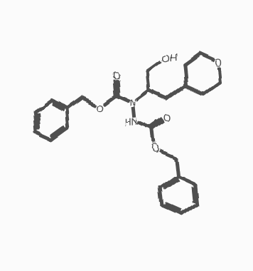 O=C(NN(C(=O)OCc1ccccc1)C(CO)CC1CCOCC1)OCc1ccccc1